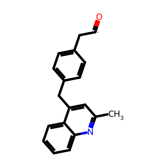 Cc1cc(Cc2ccc(C[C]=O)cc2)c2ccccc2n1